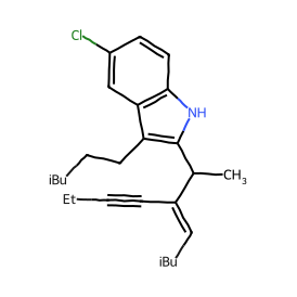 CCC#C/C(=C\C(C)CC)C(C)c1[nH]c2ccc(Cl)cc2c1CCC(C)CC